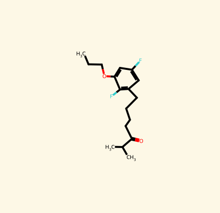 CCCOc1cc(F)cc(CCCCC(=O)C(C)C)c1F